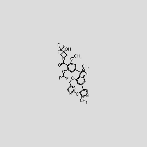 COc1cc(-c2c3c(OCc4cnc(C)s4)cc(-c4cnn(C)c4)cc3nn2C)cc(OC(F)F)c1C(=O)N1CC(O)(C(F)(F)F)C1